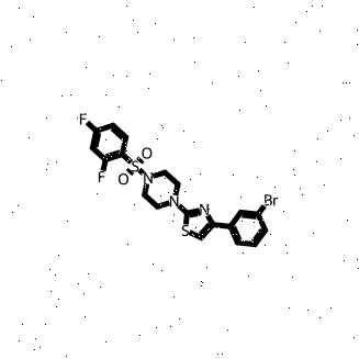 O=S(=O)(c1ccc(F)cc1F)N1CCN(c2nc(-c3cccc(Br)c3)cs2)CC1